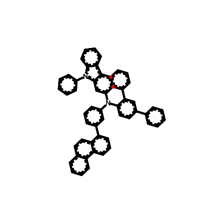 c1ccc(-c2ccc(N(c3cccc(-c4cccc5c4ccc4ccccc45)c3)c3ccc4c5ccccc5n(-c5ccccc5)c4c3)c(-c3ccccc3)c2)cc1